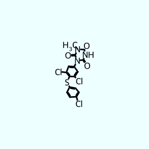 Cn1c(=O)[nH]c(=O)n(-c2cc(Cl)c(Sc3ccc(Cl)cc3)c(Cl)c2)c1=O